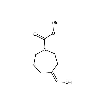 CC(C)(C)OC(=O)N1CCC/C(=C/O)CC1